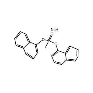 CP(=O)(Oc1cccc2ccccc12)Oc1cccc2ccccc12.[NaH]